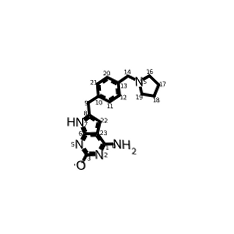 Nc1nc([O])nc2[nH]c(Cc3ccc(CN4CCCC4)cc3)cc12